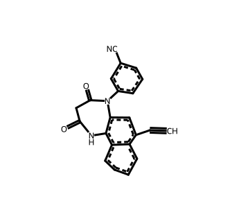 C#Cc1cc2c(c3ccccc13)NC(=O)CC(=O)N2c1cccc(C#N)c1